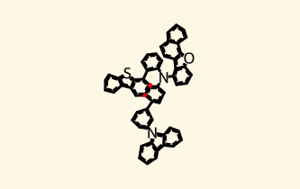 c1cc(-c2ccc(N(c3ccccc3-c3cccc4c3sc3ccccc34)c3cccc4oc5c6ccccc6ccc5c34)cc2)cc(-n2c3ccccc3c3ccccc32)c1